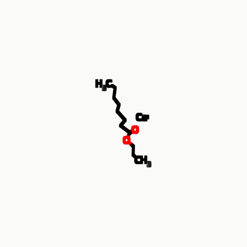 CCCCCCCC(=O)OCCC.[Ca]